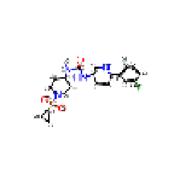 CN(C(=O)Nc1ccc(-c2cc(F)ccc2F)nc1)C1CCN(S(=O)(=O)C2CC2)CC1